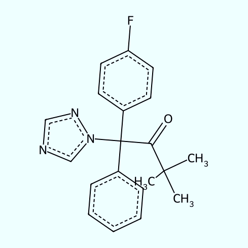 CC(C)(C)C(=O)C(c1ccccc1)(c1ccc(F)cc1)n1cncn1